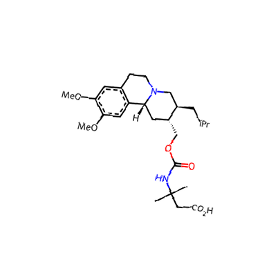 COc1cc2c(cc1OC)[C@H]1C[C@@H](COC(=O)NC(C)(C)CC(=O)O)[C@H](CC(C)C)CN1CC2